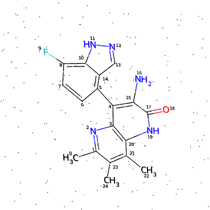 Cc1nc2c(-c3ccc(F)c4[nH]ncc34)c(N)c(=O)[nH]c2c(C)c1C